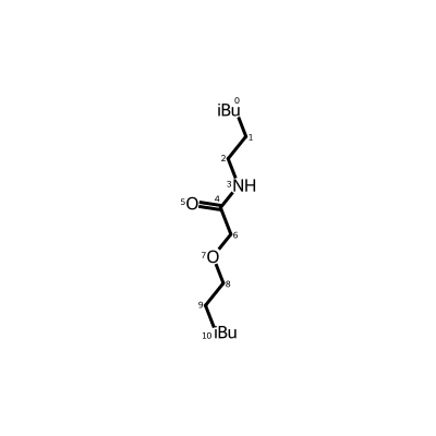 CCC(C)CCNC(=O)COCCC(C)CC